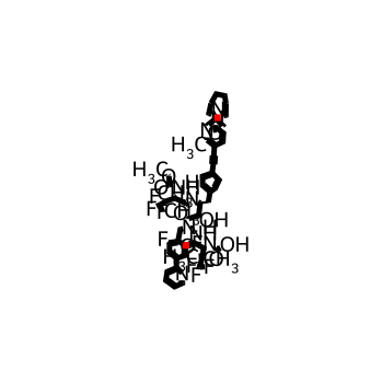 COC(=O)N[C@H](C(=O)N[C@@H](Cc1ccc(C#Cc2ccc(N3CC4CCC(C3)N4C3COC3)nc2C)cc1)[C@@H](O)CN(Cc1c(F)cc(-c2ccccn2)cc1F)NC(=O)[C@@H](NC(=O)O)C(C)(C)C(F)(F)F)C(C)(C)C(F)(F)F